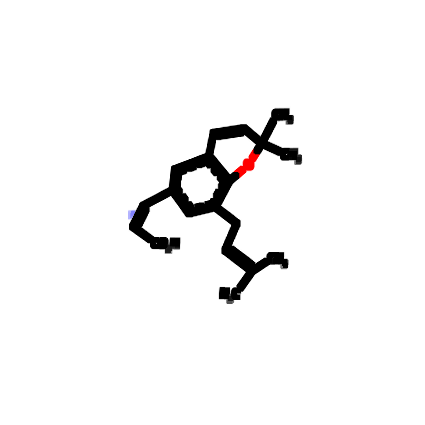 CC(C)=CCc1cc(/C=C\C(=O)O)cc2c1OC(C)(C)C=C2